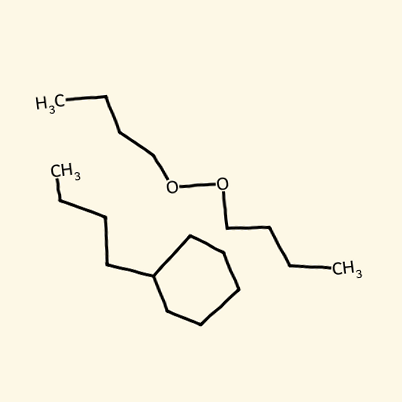 CCCCC1CCCCC1.CCCCOOCCCC